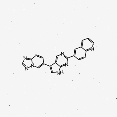 c1cnc2ccc(-c3ncc4c(-c5ccc6ncnn6c5)c[nH]c4n3)cc2c1